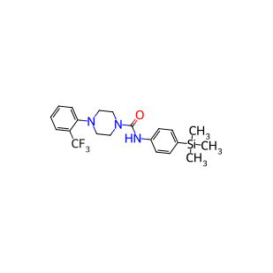 C[Si](C)(C)c1ccc(NC(=O)N2CCN(c3ccccc3C(F)(F)F)CC2)cc1